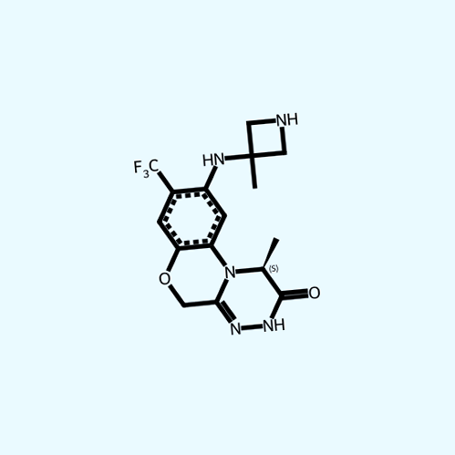 C[C@H]1C(=O)NN=C2COc3cc(C(F)(F)F)c(NC4(C)CNC4)cc3N21